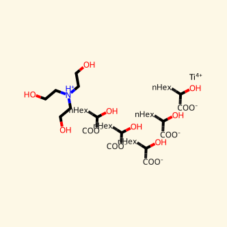 CCCCCCC(O)C(=O)[O-].CCCCCCC(O)C(=O)[O-].CCCCCCC(O)C(=O)[O-].CCCCCCC(O)C(=O)[O-].CCCCCCC(O)C(=O)[O-].OCC[NH+](CCO)CCO.[Ti+4]